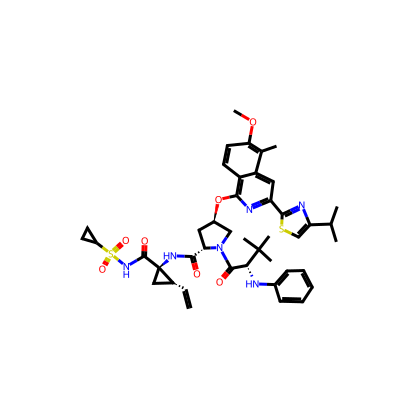 C=C[C@@H]1C[C@]1(NC(=O)[C@@H]1C[C@@H](Oc2nc(-c3nc(C(C)C)cs3)cc3c(C)c(OC)ccc23)CN1C(=O)[C@@H](Nc1ccccc1)C(C)(C)C)C(=O)NS(=O)(=O)C1CC1